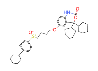 O=C1Nc2ccc(OCCCC[S+]([O-])c3ccc(C4CCCCC4)cc3)cc2C(C2CCCCC2)(C2CCCCC2)O1